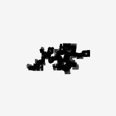 CNCCN(C)C(=O)Oc1cc2c(c3c(C)c[nH]c13)C(CCl)CN2